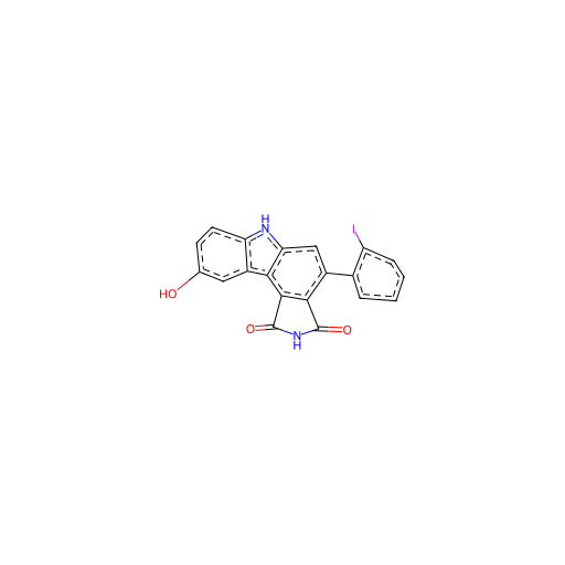 O=C1NC(=O)c2c1c(-c1ccccc1I)cc1[nH]c3ccc(O)cc3c21